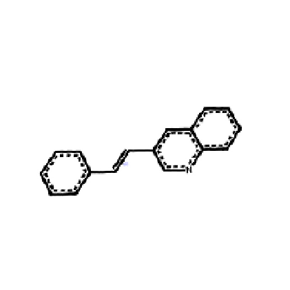 C(=C\c1cnc2ccccc2c1)/c1ccccc1